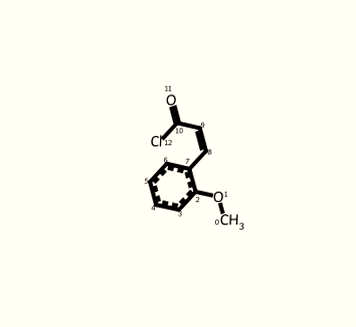 COc1ccccc1/C=C\C(=O)Cl